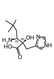 CC(C)(C)C[C@H](N)[C@](O)(Cc1c[nH]cn1)C(=O)O